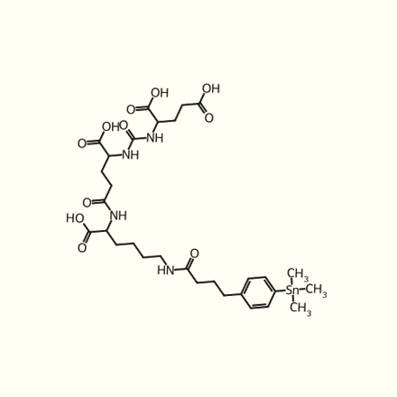 [CH3][Sn]([CH3])([CH3])[c]1ccc(CCCC(=O)NCCCCC(NC(=O)CCC(NC(=O)NC(CCC(=O)O)C(=O)O)C(=O)O)C(=O)O)cc1